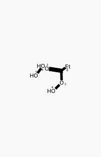 CCC(=O)OO.OO